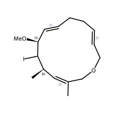 CO[C@H]1/C=C/CC/C=C/COC/C(C)=C\[C@@H](C)C1I